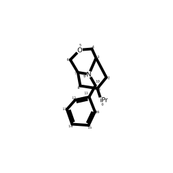 CC(C)C1CC2COCC(C1)N2Cc1ccccc1